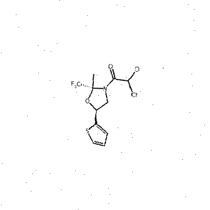 C[C@]1(C(F)(F)F)O[C@H](c2cccs2)CN1C(=O)C(Cl)Cl